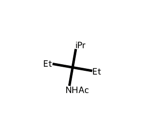 CCC(CC)(NC(C)=O)C(C)C